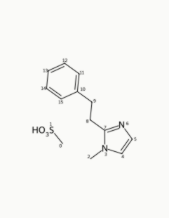 CS(=O)(=O)O.Cn1ccnc1CCc1ccccc1